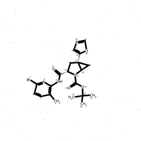 Cc1ccc(Br)nc1NC(=O)[C@@H]1C[C@@]2(c3cnco3)CC2N1C(=O)OC(C)(C)C